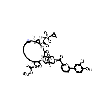 CC(C)(C)OC(=O)N[C@H]1CCCCC/C=C\[C@H]2C[C@@]2(C(=O)NS(=O)(=O)C2CC2)NC(=O)[C@@H]2[C@H]3CN(C(=O)c4cccc(-c5ccc(O)c(Cl)c5)n4)C[C@H]3CN2C1=O